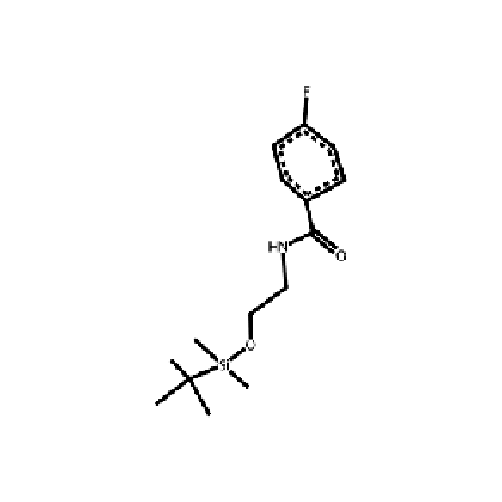 CC(C)(C)[Si](C)(C)OCCNC(=O)c1ccc(F)cc1